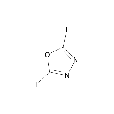 Ic1nnc(I)o1